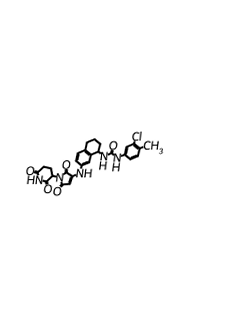 Cc1ccc(NC(=O)NC2CCCc3ccc(NC4=CC(=O)N(C5CCC(=O)NC5=O)C4=O)cc32)cc1Cl